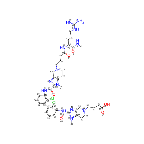 CNC(=O)[C@H](CCCNC(=N)N)NC(=O)CCCN1CCc2c(nc(C(=O)Nc3cccc(-c4cccc(NC(=O)c5nc6c(n5C)CCN(CCCC(=O)O)C6)c4Cl)c3Cl)n2C)C1